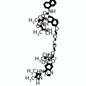 CN[C@@H](C)C(=O)N[C@H](C(=O)N1Cc2cc(OCCOCCOCCOCCOc3cc4ncnc(Nc5n[nH]c(C)c5C)c4cc3S(=O)(=O)C(C)(C)C)ccc2C[C@H]1C(=O)NC1CCCc2ccccc21)C(C)(C)C